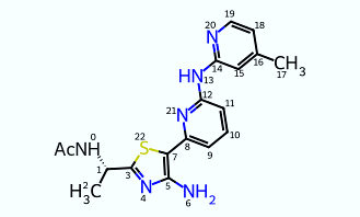 CC(=O)N[C@@H](C)c1nc(N)c(-c2cccc(Nc3cc(C)ccn3)n2)s1